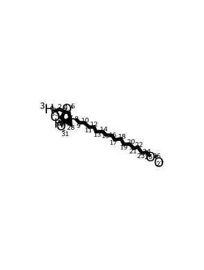 [3H][C@H]1C[C@@]2(OC)C[C@]3(CCCCCCCCCCCCCCCCCOC=O)C[C@]3(OC)[C@H]2O1